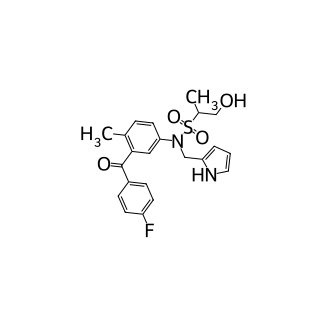 Cc1ccc(N(Cc2ccc[nH]2)S(=O)(=O)C(C)CO)cc1C(=O)c1ccc(F)cc1